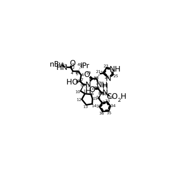 CCCCNC(=O)C[C@@H](C[C@@H](O)[C@H](CC1CCCCC1)NC(=O)[C@H](Cc1c[nH]cn1)NC(=O)[C@H](Cc1ccccc1)NC(=O)O)C(C)C